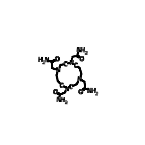 NC(=O)CN1CCCN(CC(N)=O)CCN(CC(N)=O)CCCN(CC(N)=O)CC1